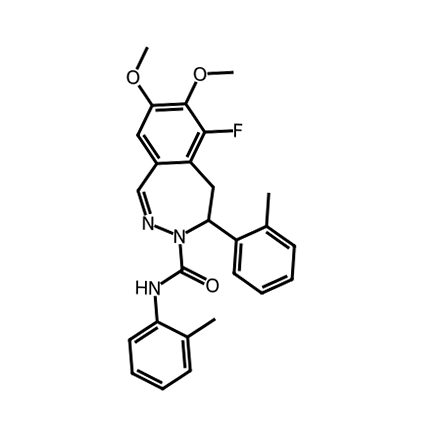 COc1cc2c(c(F)c1OC)CC(c1ccccc1C)N(C(=O)Nc1ccccc1C)N=C2